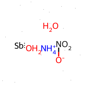 O.O.O=[N+]([O-])[O-].[NH4+].[Sb]